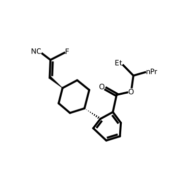 CCCC(CC)OC(=O)c1ccccc1[C@H]1CC[C@H](C=C(F)C#N)CC1